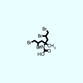 CC(CC(Br)CBr)(CC(Br)CBr)NC(=O)O